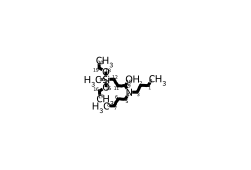 CCCCN(CCCC)C(O)CC[Si](C)(OCC)OCC